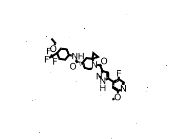 CCOC1(C(F)(F)F)CCC(NC(=O)[C@@H]2CCN(C(=O)c3cc(-c4cc(OC)ncc4F)[nH]n3)C3(CC3)C2)CC1